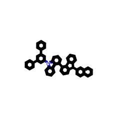 c1ccc(-c2cc(-c3ccccc3)cc(-n3c4ccccc4c4c(-c5cccc6c5-c5ccccc5C6c5ccc6ccccc6c5)cccc43)c2)cc1